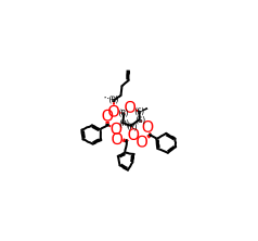 C=CCC[C@@H](C)O[C@@H]1O[C@@H](C)[C@H](OC(=O)c2ccccc2)[C@@H](OC(=O)c2ccccc2)[C@H]1OC(=O)c1ccccc1